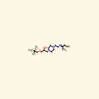 CCC(C)(C)COCC(O)CN1CCN(CC/N=C(\C)CC(C)C)CC1